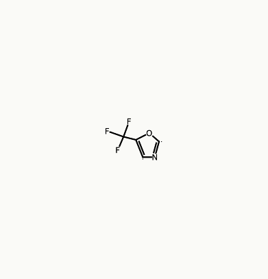 FC(F)(F)c1[c]n[c]o1